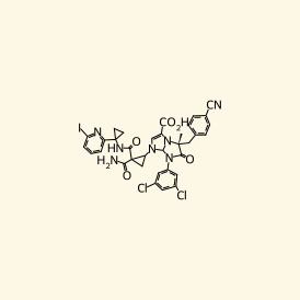 C[C@@]1(Cc2ccc(C#N)cc2)C(=O)N(c2cc(Cl)cc(Cl)c2)C2N(C3CC3(C(N)=O)C(=O)NC3(c4cccc(I)n4)CC3)C=C(C(=O)O)N21